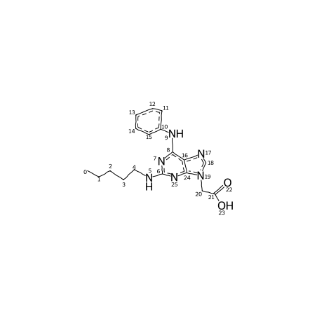 CCCCCNc1nc(Nc2ccccc2)c2ncn(CC(=O)O)c2n1